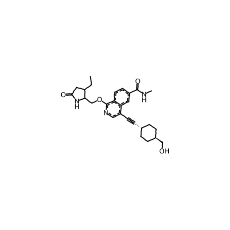 CCC1CC(=O)NC1COc1ncc(C#C[C@H]2CC[C@H](CO)CC2)c2cc(C(=O)NC)ccc12